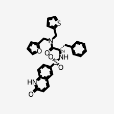 O=C([C@H](Cc1ccccc1)NS(=O)(=O)c1ccc2[nH]c(=O)ccc2c1)N(Cc1ccco1)Cc1cccs1